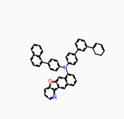 C1=CCCC(c2cccc(-c3ccc(N(c4ccc(-c5cccc6ccccc56)cc4)c4cccc5cc6c(cc45)oc4cccnc46)cc3)c2)=C1